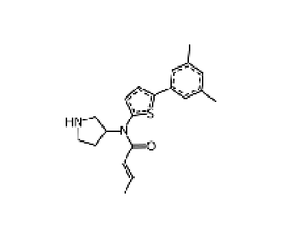 CC=CC(=O)N(c1ccc(-c2cc(C)cc(C)c2)s1)C1CCNC1